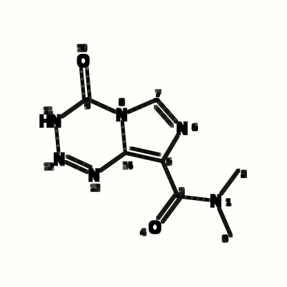 CN(C)C(=O)c1ncn2c(=O)[nH]nnc12